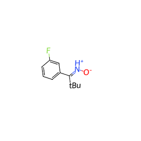 CC(C)(C)C(=[NH+][O-])c1cccc(F)c1